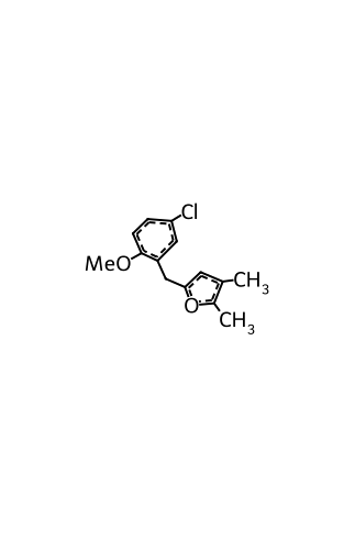 COc1ccc(Cl)cc1Cc1cc(C)c(C)o1